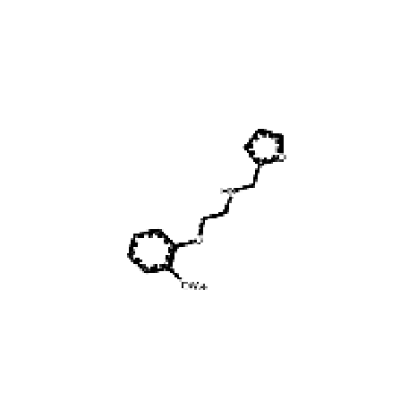 COc1ccccc1OCCNCc1ccco1